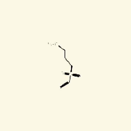 C=CS(=O)(=O)CCCOC